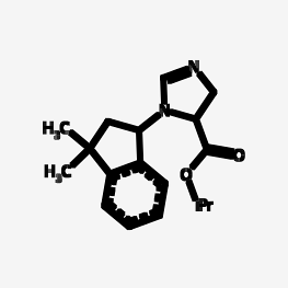 CC(C)OC(=O)C1CN=CN1C1CC(C)(C)c2ccccc21